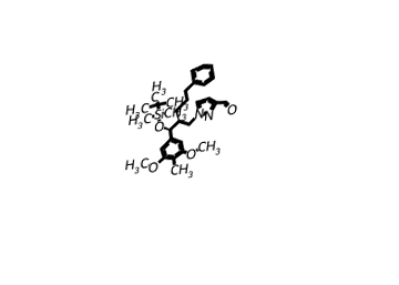 COc1cc([C@@H](O[Si](C)(C)C(C)(C)C)[C@@H](CCCc2ccccc2)Cn2ccc(C=O)n2)cc(OC)c1C